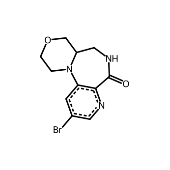 O=C1NCC2COCCN2c2cc(Br)cnc21